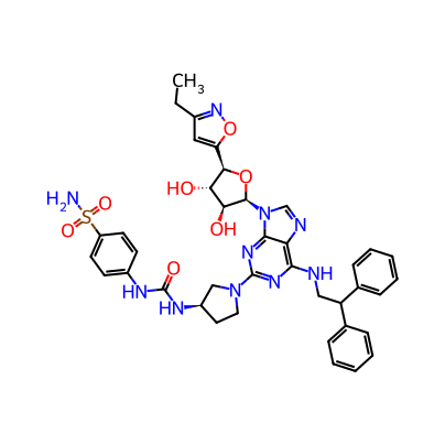 CCc1cc([C@H]2O[C@@H](n3cnc4c(NCC(c5ccccc5)c5ccccc5)nc(N5CC[C@@H](NC(=O)Nc6ccc(S(N)(=O)=O)cc6)C5)nc43)[C@@H](O)[C@@H]2O)on1